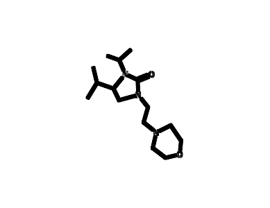 CC(C)C1CN(CCN2CCOCC2)C(=O)N1C(C)C